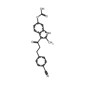 Cc1[nH]c2cc(OC(=O)O)ccc2c1C(=O)CCc1ccc(C#N)cc1